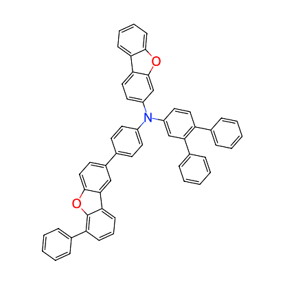 c1ccc(-c2ccc(N(c3ccc(-c4ccc5oc6c(-c7ccccc7)cccc6c5c4)cc3)c3ccc4c(c3)oc3ccccc34)cc2-c2ccccc2)cc1